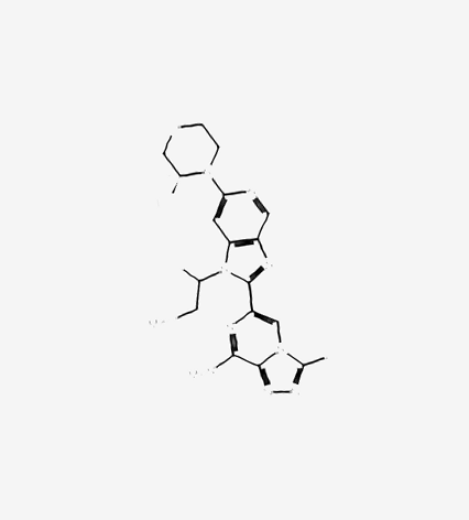 CNc1nc(-c2nc3cnc(N4CCOC[C@@H]4C)cc3n2C(C)COC)cn2c(C)nnc12